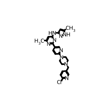 Cc1cc(Nc2cc(C)[nH]n2)nc(-c2ccc(N3CCN(Cc4ccc(Cl)nc4)CC3)nc2)n1